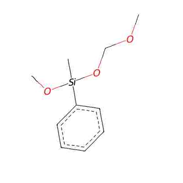 COCO[Si](C)(OC)c1ccccc1